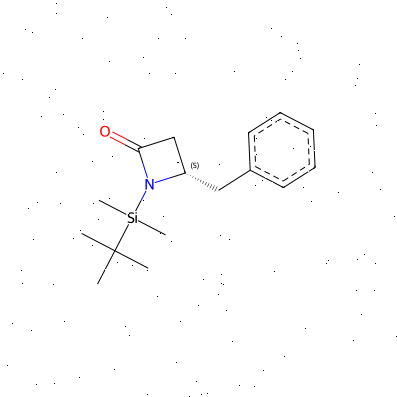 CC(C)(C)[Si](C)(C)N1C(=O)C[C@@H]1Cc1ccccc1